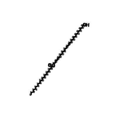 CCCCCCCCC=CCCCCCCCCCC(=O)OCCCCCCCCCCCCCCCCCCCCCCCCCCCO